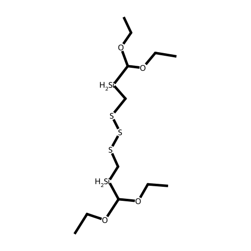 CCOC(OCC)[SiH2]CSSSC[SiH2]C(OCC)OCC